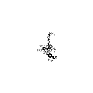 Cc1ncsc1-c1ccc(CNC(=O)[C@@H]2C[C@@H](O)CN2C(=O)[C@@H](NC(=O)COCCOCCN)C(C)(C)C)cc1.Cl